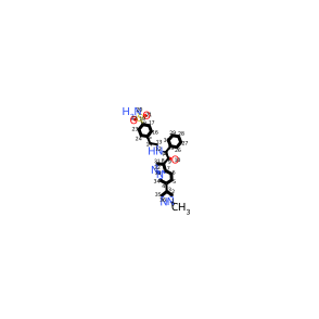 Cn1cc(-c2ccc3c(C(=O)[C@@H](NCCc4ccc(S(N)(=O)=O)cc4)c4ccccc4)cnn3c2)cn1